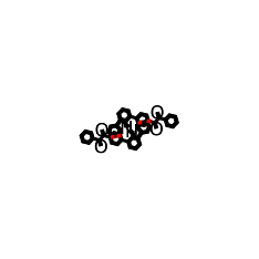 O=C(C(=O)c1ccc(-c2cccc3c4ccccc4n(-n4c5ccccc5c5cccc(-c6ccc(C(=O)C(=O)c7ccccc7)cc6)c54)c23)cc1)c1ccccc1